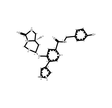 O=C(NCc1ccc(Cl)cc1)c1cc(O[C@@H]2CCN3C(=O)OC[C@H]3C2)c(-c2cn[nH]c2)cn1